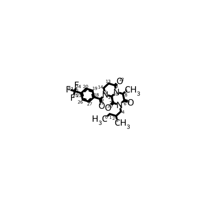 CCC(C)CN1C(=O)C(C)N2C(=O)CCN(C(=O)c3ccc(C(F)(F)F)cc3)C2C1=O